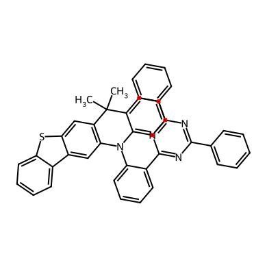 CC1(C)c2ccccc2N(c2ccccc2-c2nc(-c3ccccc3)nc(-c3ccccc3)n2)c2cc3c(cc21)sc1ccccc13